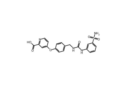 NS(=O)(=O)c1cccc(NC(=O)NCc2ccc(Oc3ccnc(C(=O)O)c3)cc2)c1